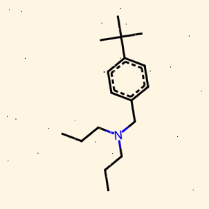 CCCN(CCC)Cc1c[c]c(C(C)(C)C)cc1